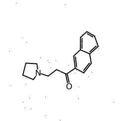 O=C(CCN1CCCC1)c1ccc2ccccc2c1